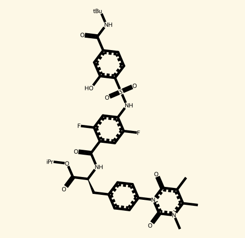 Cc1c(C)n(C)c(=O)n(-c2ccc(C[C@H](NC(=O)c3cc(F)c(NS(=O)(=O)c4ccc(C(=O)NC(C)(C)C)cc4O)cc3F)C(=O)OC(C)C)cc2)c1=O